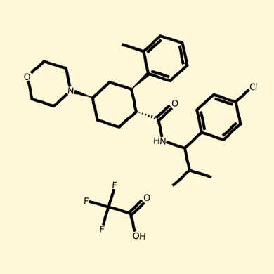 Cc1ccccc1[C@@H]1C[C@H](N2CCOCC2)CC[C@H]1C(=O)NC(c1ccc(Cl)cc1)C(C)C.O=C(O)C(F)(F)F